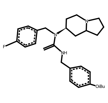 C=C(NCc1ccc(OCC(C)C)cc1)N(Cc1ccc(F)cc1)[C@H]1CCN2CCCC2C1